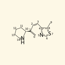 C=C(/C=C\c1ncsc1C)[C@@H]1CCCCN1